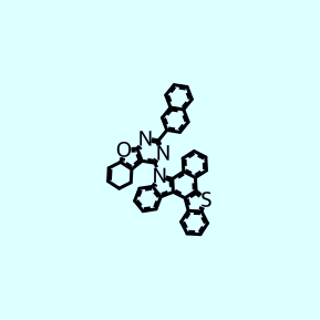 C1=Cc2oc3nc(-c4ccc5ccccc5c4)nc(-n4c5ccccc5c5c6c7ccccc7sc6c6ccccc6c54)c3c2CC1